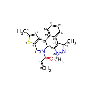 C=CC(=O)N1Cc2sc(C)cc2[C@@H](c2ccccc2-c2cn(C)nc2C)C1